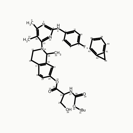 Cc1nc(Nc2ccc(F)cc2)nc(N2CCc3ccc(OC(=O)C(CO)NC(=O)OC(C)(C)C)cc3C2C)c1C.c1ccc2c(c1)C2